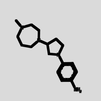 CN1CCCN(C2CCN(c3ccc(N)cc3)C2)CC1